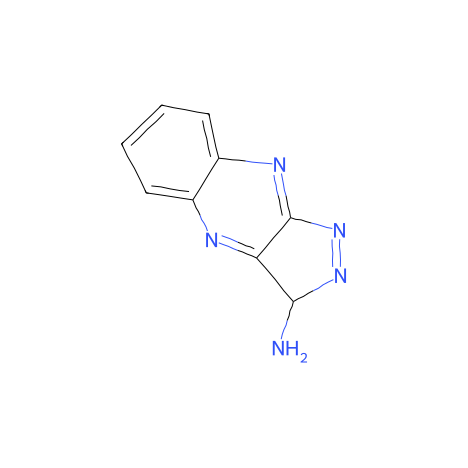 NC1N=Nc2nc3ccccc3nc21